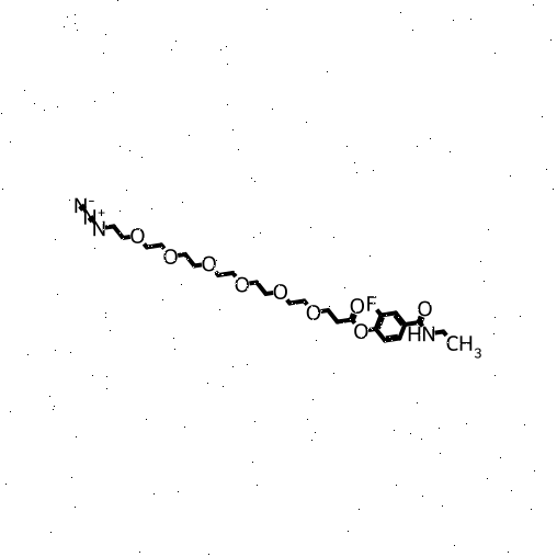 CCNC(=O)c1ccc(OC(=O)CCOCCOCCOCCOCCOCCOCCN=[N+]=[N-])c(F)c1